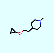 CN1CCC(CCOC2CC2)CC1